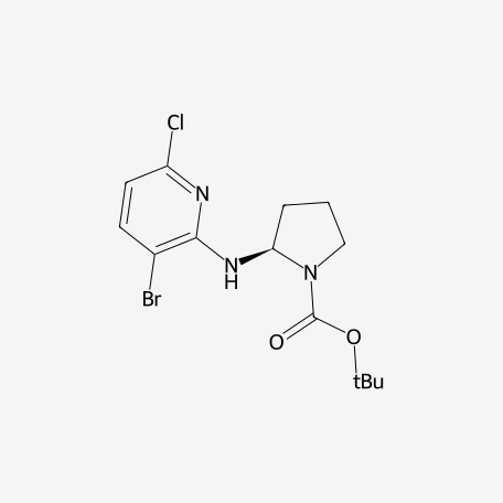 CC(C)(C)OC(=O)N1CCC[C@@H]1Nc1nc(Cl)ccc1Br